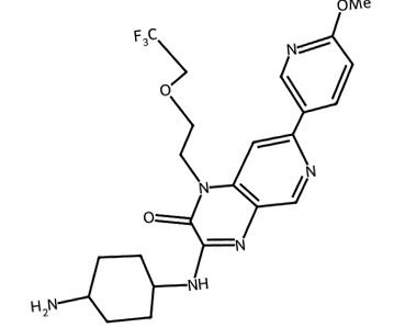 COc1ccc(-c2cc3c(cn2)nc(NC2CCC(N)CC2)c(=O)n3CCOCC(F)(F)F)cn1